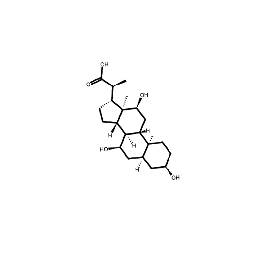 C[C@H](C(=O)O)[C@H]1CC[C@H]2[C@@H]3[C@H](O)C[C@@H]4C[C@H](O)CC[C@]4(C)[C@H]3C[C@H](O)[C@]12C